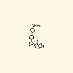 CC(=O)Nc1ccc(-c2ccc(C(CC(C)C)C(C)(C)C(=O)Nc3nncs3)cc2)cc1